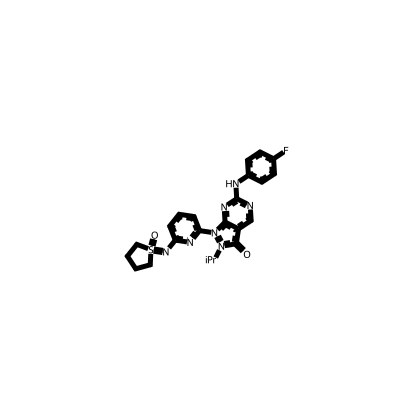 CC(C)n1c(=O)c2cnc(Nc3ccc(F)cc3)nc2n1-c1cccc(N=S2(=O)CCCC2)n1